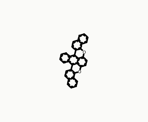 c1ccc2c3c(ccc2c1)-c1c2ccccc2c2c4c(ccc(c14)O3)Oc1c-2ccc2ccccc12